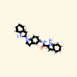 O=C(Nc1ccc2c(ccn2C2C=C3C=CC=CC3N2)c1)c1cc2ccccc2[nH]1